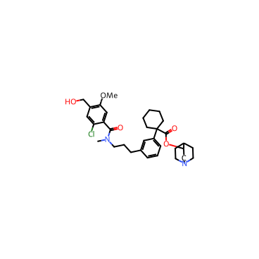 COc1cc(C(=O)N(C)CCCc2cccc(C3(C(=O)OC4CN5CCC4CC5)CCCCC3)c2)c(Cl)cc1CO